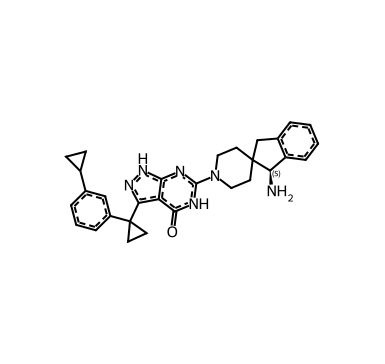 N[C@@H]1c2ccccc2CC12CCN(c1nc3[nH]nc(C4(c5cccc(C6CC6)c5)CC4)c3c(=O)[nH]1)CC2